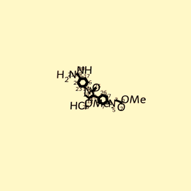 COC(=O)CN(C)c1ccc(C2=C(OC)CN(c3ccc(C(=N)N)cc3)C2=O)cc1.Cl